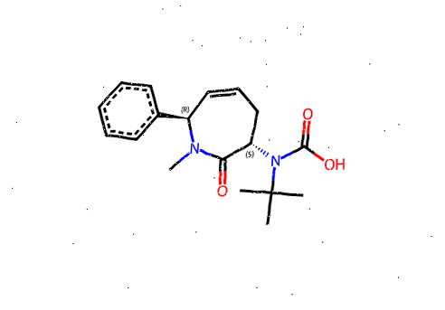 CN1C(=O)[C@@H](N(C(=O)O)C(C)(C)C)CC=C[C@@H]1c1ccccc1